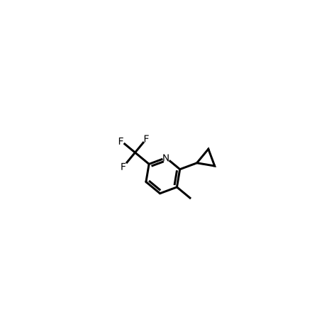 Cc1ccc(C(F)(F)F)nc1C1CC1